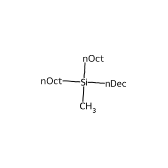 CCCCCCCCCC[Si](C)(CCCCCCCC)CCCCCCCC